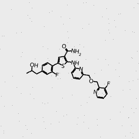 CC(O)Cc1ccc(-c2cc(C(N)=O)c(Nc3cccc(COCc4ncccc4F)n3)s2)c(F)c1